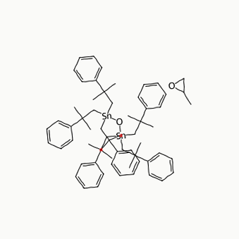 CC(C)([CH2][Sn]([CH2]C(C)(C)c1ccccc1)([CH2]C(C)(C)c1ccccc1)[O][Sn]([CH2]C(C)(C)c1ccccc1)([CH2]C(C)(C)c1ccccc1)[CH2]C(C)(C)c1ccccc1)c1ccccc1.CC1CO1